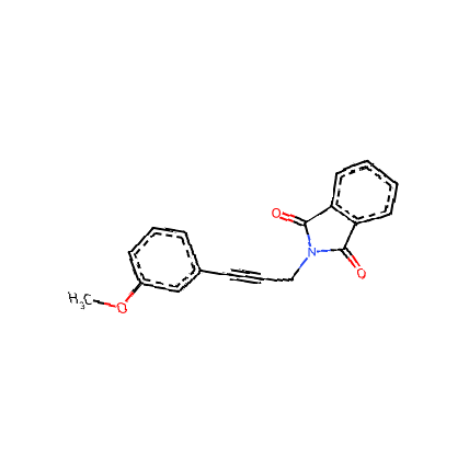 COc1cccc(C#CCN2C(=O)c3ccccc3C2=O)c1